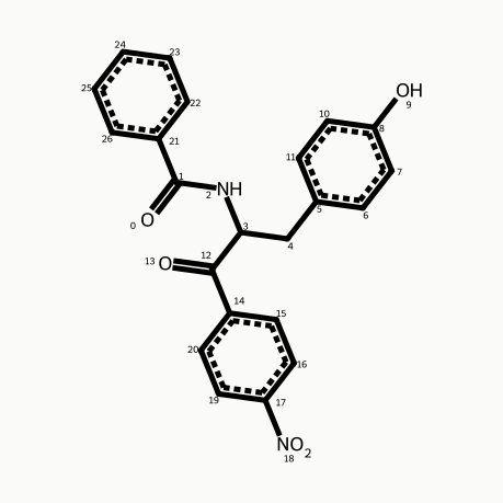 O=C(NC(Cc1ccc(O)cc1)C(=O)c1ccc([N+](=O)[O-])cc1)c1ccccc1